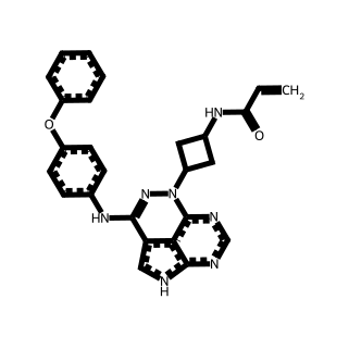 C=CC(=O)NC1CC(N2N=C(Nc3ccc(Oc4ccccc4)cc3)c3c[nH]c4ncnc2c34)C1